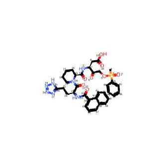 CP(=O)(OCC(=O)[C@H](CC(=O)O)NC(=O)[C@@H]1CCCCN1C(=O)[C@H](CCc1nnn[nH]1)NC(=O)c1cccc2ccccc12)c1ccccc1